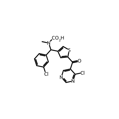 CN(C(=O)O)C(c1cccc(Cl)c1)c1csc(C(=O)c2cncnc2Cl)c1